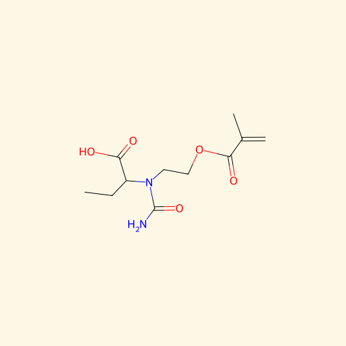 C=C(C)C(=O)OCCN(C(N)=O)C(CC)C(=O)O